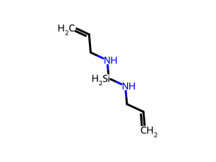 C=CCN[SiH2]NCC=C